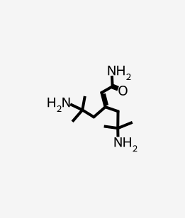 CC(C)(N)CC(=CC(N)=O)CC(C)(C)N